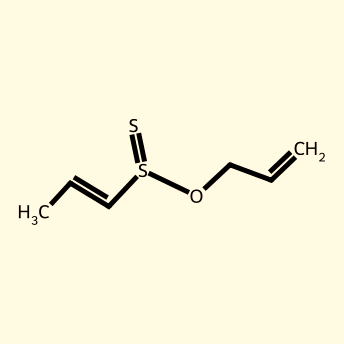 C=CCOS(=S)C=CC